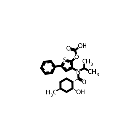 CC(C)N(C(=O)[C@H]1CC[C@H](C)C[C@H]1O)c1cc(-c2ccccc2)sc1OC(=O)O